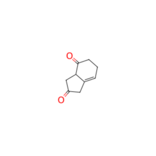 O=C1CC2=CCCC(=O)C2C1